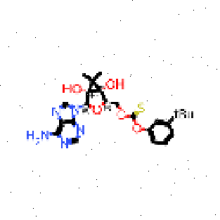 CC(C)(C)c1cccc(OC(=S)OC[C@H]2O[C@@H](n3cnc4c(N)ncnc43)[C@@]3(O)C(C)(C)[C@@]23O)c1